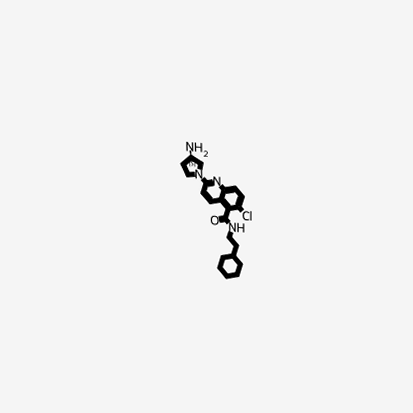 N[C@H]1CCN(c2ccc3c(C(=O)NCCC4CCCCC4)c(Cl)ccc3n2)C1